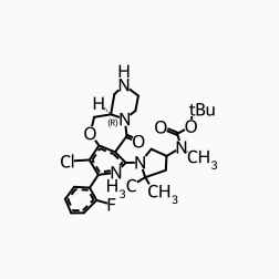 CN(C(=O)OC(C)(C)C)C1CN(c2nc(-c3ccccc3F)c(Cl)c3c2C(=O)N2CCNC[C@@H]2CO3)C(C)(C)C1